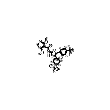 COc1ncnc(OC)c1C(=O)Nc1nc2c(s1)C1(CCN(S(C)(=O)=O)CC1)Oc1cc(C(F)(F)F)ccc1-2